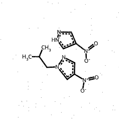 CC(C)Cn1cc([N+](=O)[O-])cn1.O=[N+]([O-])c1cn[nH]c1